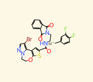 O=C(N[C@@H](Cc1ccc(F)c(F)c1)CN1C(=O)c2ccccc2C1=O)c1cc2c(s1)OCCn1ncc(Br)c1-2